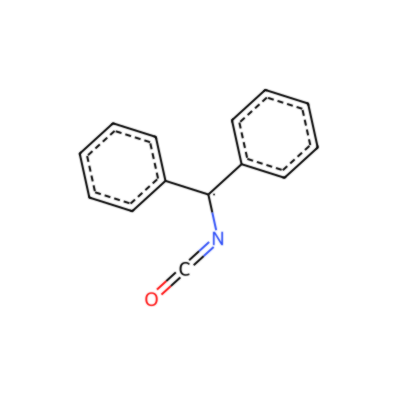 O=C=N[C](c1ccccc1)c1ccccc1